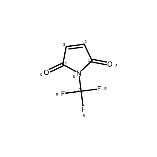 O=C1C=CC(=O)N1C(F)(F)F